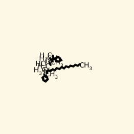 C=CC[N+](C)(C)C(CC)c1ccccc1.CCCCCCCCCCCCCCCC[N+](C)(C)Cc1ccccc1.Cl